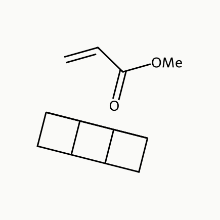 C1C2C3CC4C1C2C34.C=CC(=O)OC